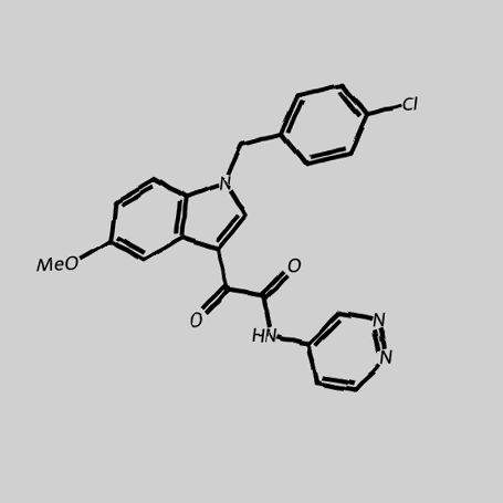 COc1ccc2c(c1)c(C(=O)C(=O)Nc1ccnnc1)cn2Cc1ccc(Cl)cc1